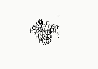 CCO[C](=O)[Sn].COC(=O)N(Cc1cc(Cl)nc(Cl)c1)[C@H]1Cc2c(ccc(OC)c2OC)N(C)C1